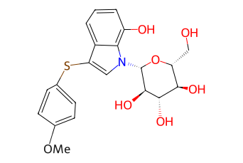 COc1ccc(Sc2cn([C@@H]3O[C@H](CO)[C@@H](O)[C@H](O)[C@H]3O)c3c(O)cccc23)cc1